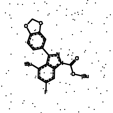 CC(C)(C)OC(=O)n1nc(-c2ccc3c(c2)OCO3)c2c(C(C)(C)C)cc(F)cc21